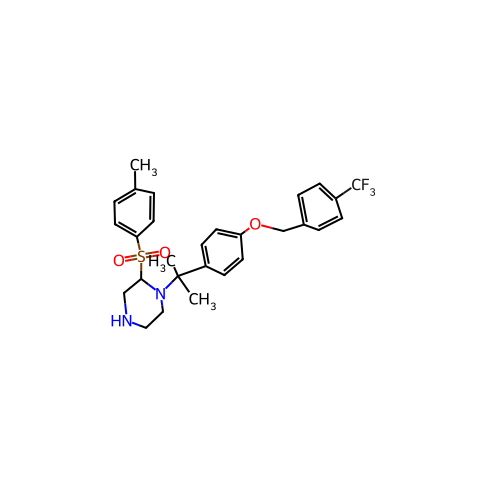 Cc1ccc(S(=O)(=O)C2CNCCN2C(C)(C)c2ccc(OCc3ccc(C(F)(F)F)cc3)cc2)cc1